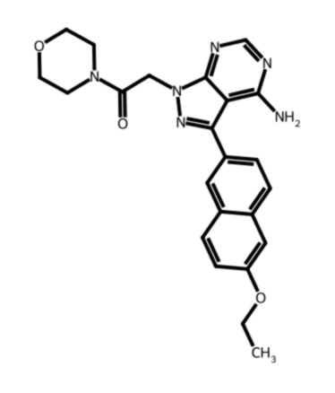 CCOc1ccc2cc(-c3nn(CC(=O)N4CCOCC4)c4ncnc(N)c34)ccc2c1